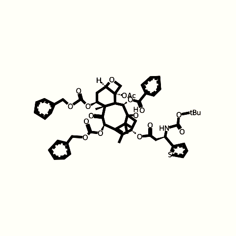 CC(=O)O[C@@]12CO[C@@H]1C[C@H](OC(=O)OCc1ccccc1)[C@@]1(C)C(=O)[C@H](OC(=O)OCc3ccccc3)C3=C(C)[C@@H](OC(=O)C[C@@H](NC(=O)OC(C)(C)C)c4cccs4)C[C@@](O)([C@@H](OC(=O)c4ccccc4)C12)C3(C)C